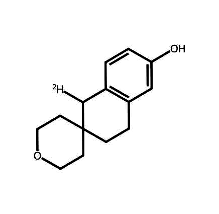 [2H]C1c2ccc(O)cc2CCC12CCOCC2